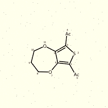 CC(=O)c1sc(C(C)=O)c2c1OCCCO2